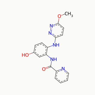 COc1ccc(Nc2ccc(O)cc2NC(=O)c2ccccn2)nn1